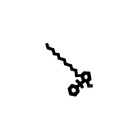 CCCCCCCCCCCCc1cccc(O)c1C(C)(C)c1ccccc1